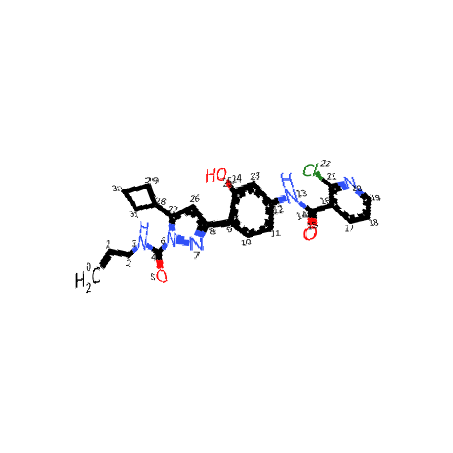 C=CCNC(=O)n1nc(-c2ccc(NC(=O)c3cccnc3Cl)cc2O)cc1C1CCC1